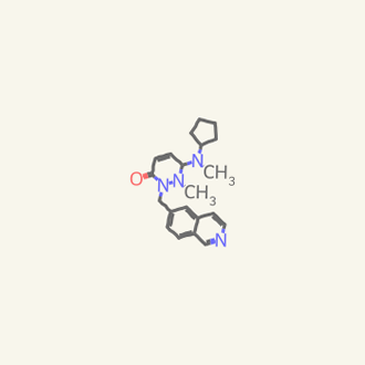 CN(C1CCCC1)C1C=CC(=O)N(Cc2ccc3cnccc3c2)N1C